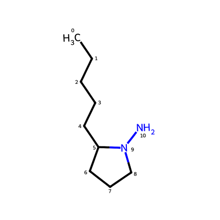 CCCCCC1CCCN1N